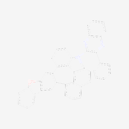 c1ccc(-c2nc3ccccc3nc2-n2c3cccc4c3c3c5c(cccc5ccc32)-c2cc3c(cc2-4)oc2ccccc23)cc1